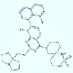 O=S1(=O)NCCC2(CCCN(c3nc(OCC45CCCN4CCC5)nc4c(F)c(-c5cccc6cccc(F)c56)ncc34)C2)N1